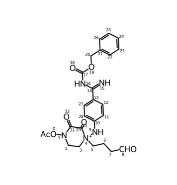 CC(=O)ON1CC[N+](CCCC=O)(Nc2ccc(C(=N)NC(=O)OCc3ccccc3)cc2)C(=O)C1=O